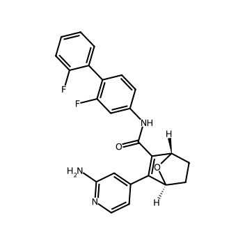 Nc1cc(C2=C(C(=O)Nc3ccc(-c4ccccc4F)c(F)c3)[C@@H]3CC[C@@H]2O3)ccn1